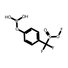 O=S(OF)C(F)(F)c1ccc(OB(O)O)cc1